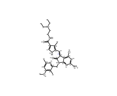 CCN(CC)CCNC(=O)c1c[nH]c(/C=C2\C(=O)N(Cc3nc(C)cc(OC)c3C)c3nc(N)nc(Cl)c32)c1C